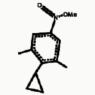 CO[N+](=O)c1cc(C)c(C2CC2)c(C)c1